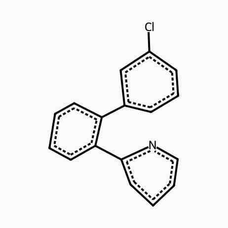 Clc1cccc(-c2ccccc2-c2ccccn2)c1